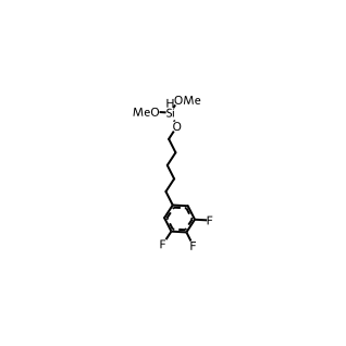 CO[SiH](OC)OCCCCCc1cc(F)c(F)c(F)c1